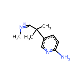 C/N=C\C(C)(C)c1ccc(N)nc1